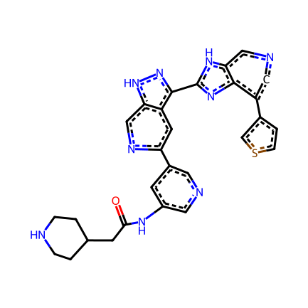 O=C(CC1CCNCC1)Nc1cncc(-c2cc3c(-c4nc5c(-c6ccsc6)cncc5[nH]4)n[nH]c3cn2)c1